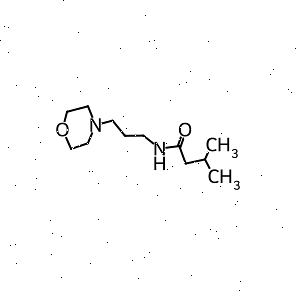 CC(C)CC(=O)NCCCN1CCOCC1